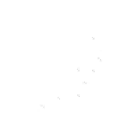 CC(C)(C)OC(=O)Nc1cc2cnc(Nc3ccc(N4CCN(C(=O)OC(C)(C)C)CC4)cn3)nc2n(C2CCCC2)c1=O